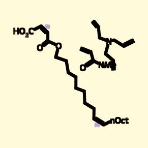 C=CC(=O)NC.C=CCN(CC=C)CC=C.CCCCCCCC/C=C\CCCCCCCCOC(=O)/C=C\C(=O)O